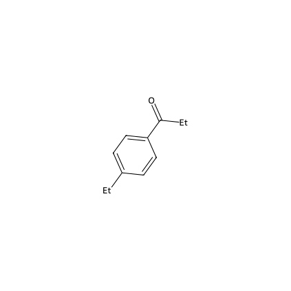 [CH2]CC(=O)c1ccc(CC)cc1